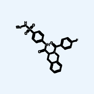 CC(C)(C)NS(=O)(=O)c1ccc(NC(=O)C2Cc3ccccc3CN2C(=O)c2ccc(F)cc2)cc1